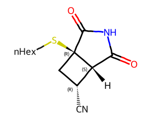 CCCCCCS[C@]12C[C@@H](C#N)[C@H]1C(=O)NC2=O